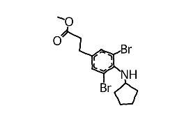 COC(=O)CCc1cc(Br)c(NC2CCCC2)c(Br)c1